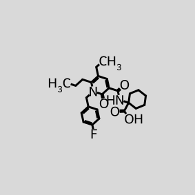 CCCc1c(CC)cc(C(=O)NC2(C(=O)O)CCCCC2)c(=O)n1Cc1ccc(F)cc1